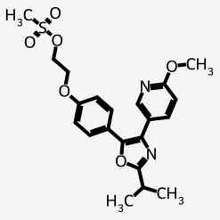 COc1ccc(-c2nc(C(C)C)oc2-c2ccc(OCCOS(C)(=O)=O)cc2)cn1